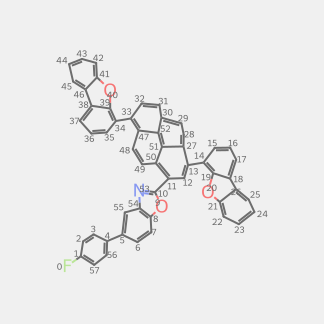 Fc1ccc(-c2ccc3oc(-c4cc(-c5cccc6c5oc5ccccc56)c5ccc6ccc(-c7cccc8c7oc7ccccc78)c7ccc4c5c67)nc3c2)cc1